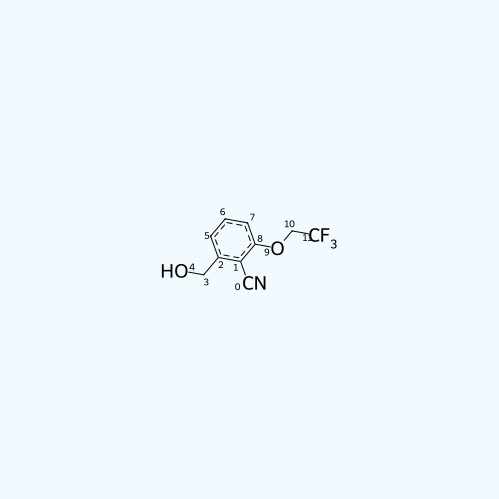 N#Cc1c(CO)cccc1OCC(F)(F)F